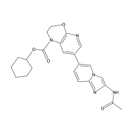 CC(=O)Nc1cn2cc(-c3cnc4c(c3)N(C(=O)OC3CCCCC3)CCO4)ccc2n1